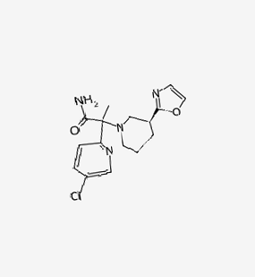 CC(C(N)=O)(c1ccc(Cl)cn1)N1CCC[C@H](c2ncco2)C1